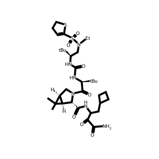 CCN(C[C@@H](NC(=O)N[C@H](C(=O)N1C[C@H]2[C@@H]([C@H]1C(=O)NC(CC1CCC1)C(=O)C(N)=O)C2(C)C)C(C)(C)C)C(C)(C)C)S(=O)(=O)C1=CCCS1